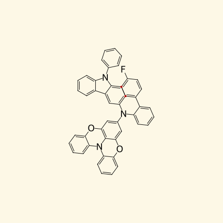 Fc1ccc(-c2ccccc2N(c2cc3c4c(c2)Oc2ccccc2N4c2ccccc2O3)c2ccc3c(c2)c2ccccc2n3-c2ccccc2)cc1